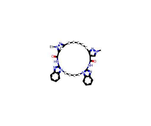 CCn1nc2cc1C(=O)Nc1nc3ccccc3n1CCCCn1c(nc3ccccc31)NC(=O)c1cn(C)nc1CCCCC2